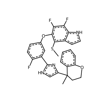 CSc1c(Oc2ccc(F)c(-c3nc(C4(C)CCOc5ccccc54)c[nH]3)c2)c(F)c(F)c2[nH]ccc12